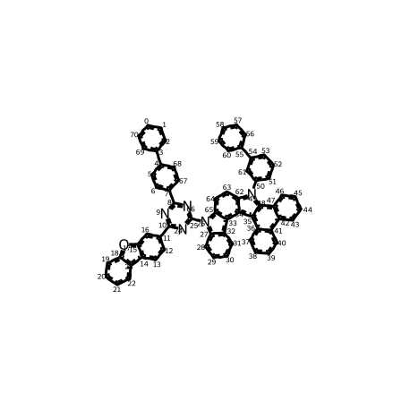 c1ccc(-c2ccc(-c3nc(-c4ccc5c(c4)oc4ccccc45)nc(-n4c5ccccc5c5c6c7c8ccccc8c8ccccc8c7n(-c7cccc(-c8ccccc8)c7)c6ccc54)n3)cc2)cc1